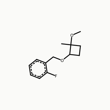 COC1(C)CCC1OCc1ccccc1F